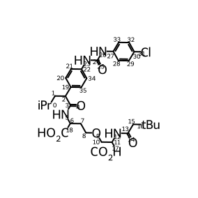 CC(C)CC(C(=O)NC(CCOCC(NC(=O)CC(C)(C)C)C(=O)O)C(=O)O)c1ccc(NC(=O)Nc2ccc(Cl)cc2)cc1